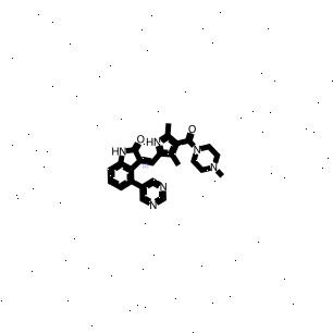 Cc1[nH]c(/C=C2\C(=O)Nc3cccc(-c4cncnc4)c32)c(C)c1C(=O)N1CCN(C)CC1